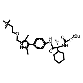 [2H][C@@](NC(=O)OC(C)(C)C)(C(=O)Nc1ccc(-c2c(C)nn(COCC[Si](C)(C)C)c2C)cc1)C1CCCCC1